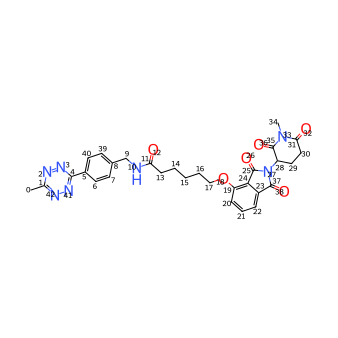 Cc1nnc(-c2ccc(CNC(=O)CCCCCOc3cccc4c3C(=O)N(C3CCC(=O)N(C)C3=O)C4=O)cc2)nn1